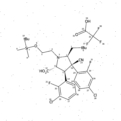 CC(C)(C)C[C@@H]1N(CCO[Si](C)(C)C(C)(C)C)[C@@H](C(=O)O)[C@H](c2cccc(Cl)c2F)[C@@]1(C#N)c1ccc(Cl)cc1F.O=C(O)C(F)(F)F